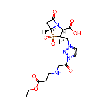 CCOC(=O)CCNCC(=O)[n+]1ccn(C[C@@]2(C)[C@H](C(=O)O)N3C(=O)C[C@H]3S2(=O)=O)n1